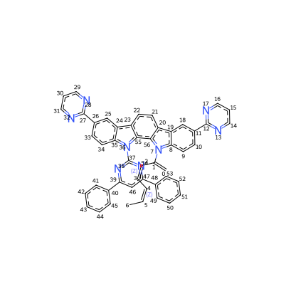 C=C(/C=C\C=C/C)n1c2ccc(-c3ncccn3)cc2c2ccc3c4cc(-c5ncccn5)ccc4n(-c4nc(-c5ccccc5)cc(-c5ccccc5)n4)c3c21